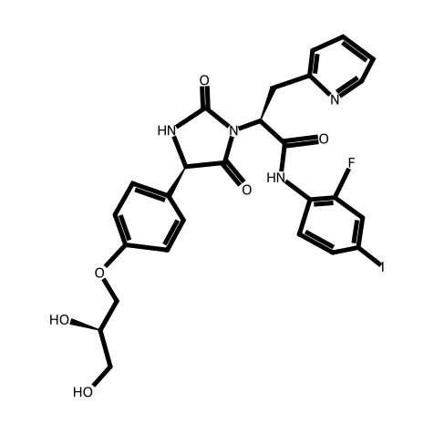 O=C(Nc1ccc(I)cc1F)[C@H](Cc1ccccn1)N1C(=O)N[C@H](c2ccc(OC[C@H](O)CO)cc2)C1=O